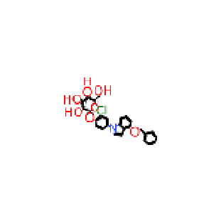 OC[C@H]1O[C@H](Oc2ccc(-n3ccc4c(OCc5ccccc5)cccc43)cc2Cl)[C@@H](O)[C@@H](O)[C@@H]1O